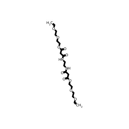 C=COCCOCCOC(=O)CC(=O)NCCNC(=O)CC(=O)OCCOCCOC=C